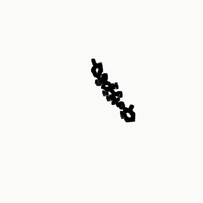 Cc1ccc(S(=O)(=O)N2C[C@@H]3C(C(=O)NC(C)(C)COc4ncccc4C)[C@@H]3C2)cc1